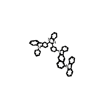 c1ccc(-n2c3ccccc3c3cc(-c4nc5ccccc5nc4-c4cccc(-n5c6ccccc6c6cc7c(-n8c9ccccc9c9ccccc98)cccc7cc65)c4)ccc32)cc1